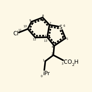 CC(C)CC(C(=O)O)c1csc2ccc(Cl)cc12